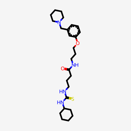 O=C(CCCNC(=S)NC1CCCCC1)NCCCOc1cccc(CN2CCCCC2)c1